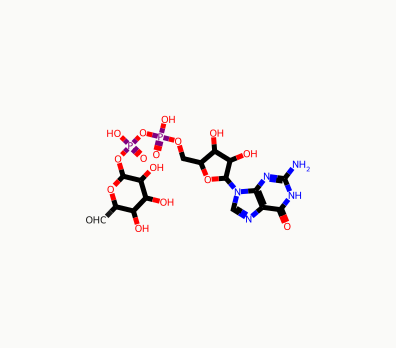 Nc1nc2c(ncn2C2OC(COP(=O)(O)OP(=O)(O)OC3OC(C=O)C(O)C(O)C3O)C(O)C2O)c(=O)[nH]1